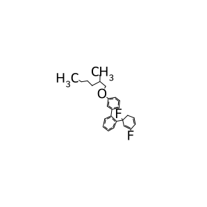 CCCCC(CC)COc1cccc(-c2ccccc2C2(F)C=C(F)C=CC2)c1